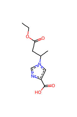 CCOC(=O)CC(C)n1cnc(C(=O)O)c1